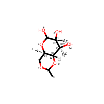 CC(=O)[C@]1(O)C(O)O[C@@H]2COC(C)O[C@H]2[C@@]1(O)C(C)=O